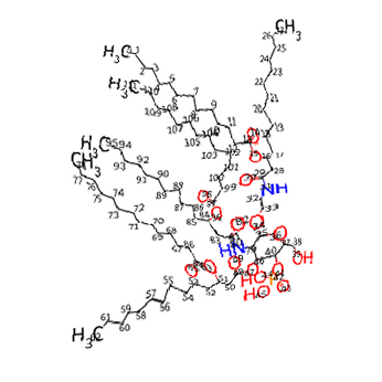 CCCCCCCCCCCCCC(=O)O[C@H](CCCCCCCCCCC)CC(=O)NCCO[C@@H]1OC(CO)[C@@H](OP(=O)(O)O)C(OC(=O)C[C@@H](CCCCCCCCCCC)OC(=O)CCCCCCCCCCCCC)C1NC(=O)C[C@@H](CCCCCCCCCCC)OC(=O)CCCCCCCCCCCCC